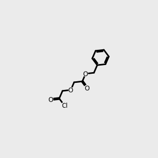 O=C(Cl)COCC(=O)OCc1ccccc1